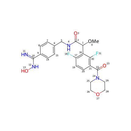 COC(C(=O)NCc1ccc(C(=N)NO)cc1)c1c(F)ccc(C(=O)N2CCOCC2)c1F